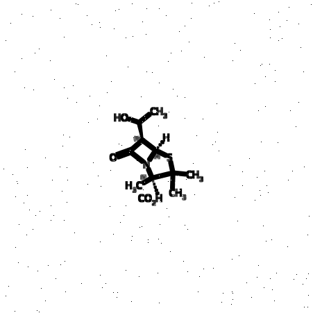 CC(O)[C@@H]1C(=O)N2[C@@H]1SC(C)(C)[C@]2(C)C(=O)O